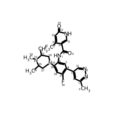 Cc1cc(-c2cc(NC(=O)c3c[nH]c(=O)cc3C(F)(F)F)c(N3CC(C)N(C)C(C)C3)cc2F)cnn1